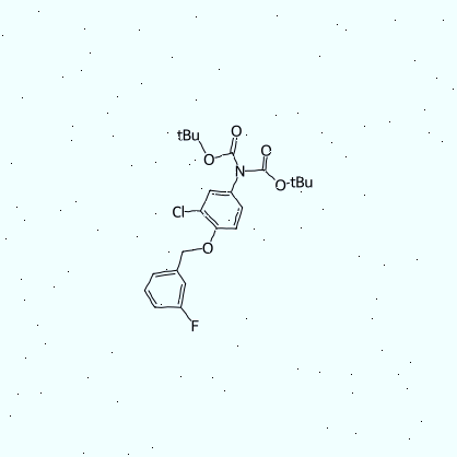 CC(C)(C)OC(=O)N(C(=O)OC(C)(C)C)c1ccc(OCc2cccc(F)c2)c(Cl)c1